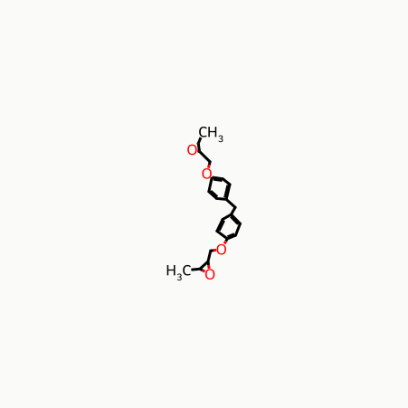 CC1OC1COc1ccc(Cc2ccc(OCC3OC3C)cc2)cc1